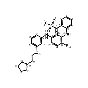 CS(=O)(=O)Nc1ccccc1Nc1nc(Nc2cccc(OCCN3CCCC3)c2)ncc1F